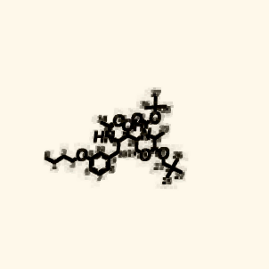 CCCCOc1cccc(CC(NC(C)=O)C(O)C2COC(OCC(C)(C)C)C(C)N2C(=O)OC(C)(C)C)c1